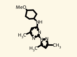 COC1CCC(Nc2cc(C)nc(-n3nc(C)cc3C)n2)CC1